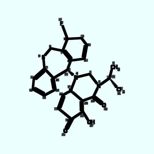 C[C@@H](N1CN([C@H]2C3=C(CSc4ccccc42)C(F)CC=C3)n2ccc(=O)c(O)c2C1=O)C(F)(F)F